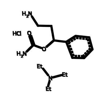 CCN(CC)CC.Cl.NCCC(OC(N)=O)c1ccccc1